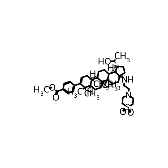 COC(=O)c1ccc(C2=CC[C@]3(C)[C@H]4CCC5[C@H]6[C@H](C(C)O)CC[C@]6(NCCN6CCS(=O)(=O)CC6)CC[C@@]5(C)[C@]4(C)CC[C@H]3C2(C)C)cc1